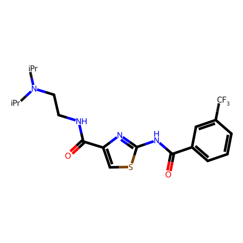 CC(C)N(CCNC(=O)c1csc(NC(=O)c2cccc(C(F)(F)F)c2)n1)C(C)C